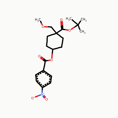 COCC1(C(=O)OC(C)(C)C)CCC(OC(=O)c2ccc([N+](=O)[O-])cc2)CC1